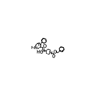 O=C(OCc1ccccc1)N1CCC(N(O)C(=O)C2CNCCN2c2ccccc2)CC1